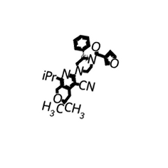 CC(C)c1nc(N2CCN(C(=O)c3ccoc3)[C@@H](c3ccccc3)C2)c(C#N)c2c1COC(C)(C)C2